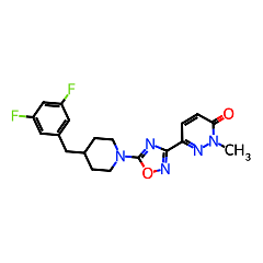 Cn1nc(-c2noc(N3CCC(Cc4cc(F)cc(F)c4)CC3)n2)ccc1=O